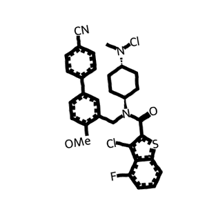 COc1ccc(-c2ccc(C#N)cc2)cc1CN(C(=O)c1sc2cccc(F)c2c1Cl)[C@H]1CC[C@H](N(C)Cl)CC1